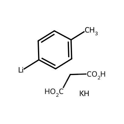 O=C(O)CC(=O)O.[KH].[Li][c]1ccc(C)cc1